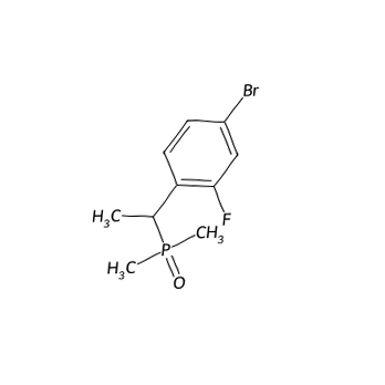 CC(c1ccc(Br)cc1F)P(C)(C)=O